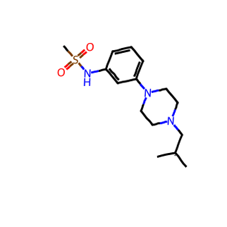 C[C](C)CN1CCN(c2cccc(NS(C)(=O)=O)c2)CC1